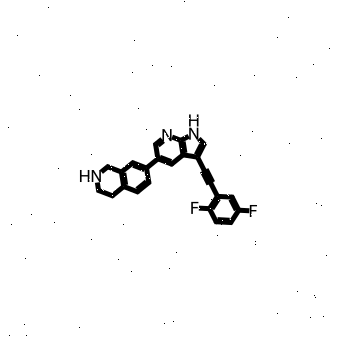 Fc1ccc(F)c(C#Cc2c[nH]c3ncc(-c4ccc5c(c4)CNCC5)cc23)c1